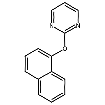 c1cnc(Oc2cccc3ccccc23)nc1